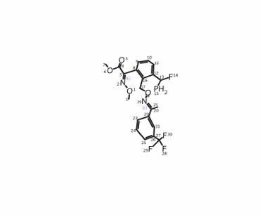 CO/N=C(/C(=O)OC)c1cccc(C(F)P)c1CO/N=C(\C)c1cccc(C(F)(F)F)c1